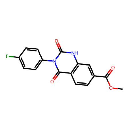 COC(=O)c1ccc2c(=O)n(-c3ccc(F)cc3)c(=O)[nH]c2c1